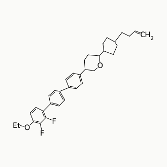 C=CCCC1CCC(C2CCC(c3ccc(-c4ccc(-c5ccc(OCC)c(F)c5F)cc4)cc3)CO2)CC1